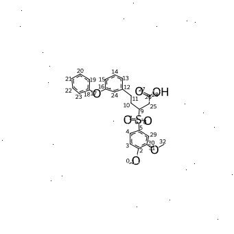 COc1ccc(S(=O)(=O)C(CCc2cccc(Oc3ccccc3)c2)CC(=O)O)cc1OC